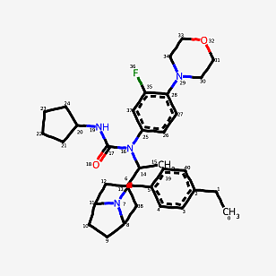 CCc1ccc(CN2C3CCC2CC(C(C)N(C(=O)NC2CCCC2)c2ccc(N4CCOCC4)c(F)c2)C3)cc1